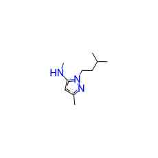 CNc1cc(C)nn1CCC(C)C